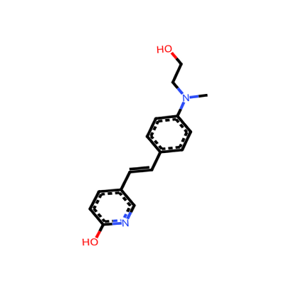 CN(CCO)c1ccc(/C=C/c2ccc(O)nc2)cc1